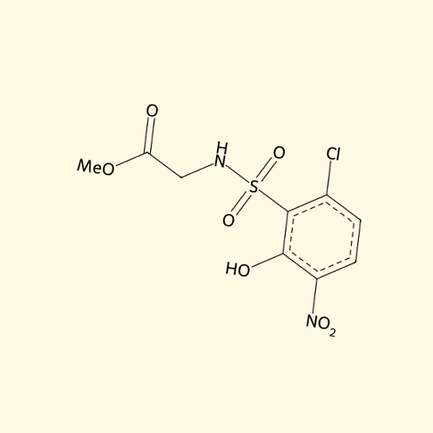 COC(=O)CNS(=O)(=O)c1c(Cl)ccc([N+](=O)[O-])c1O